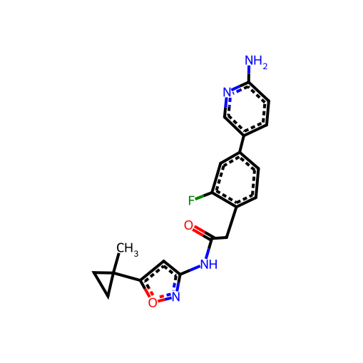 CC1(c2cc(NC(=O)Cc3ccc(-c4ccc(N)nc4)cc3F)no2)CC1